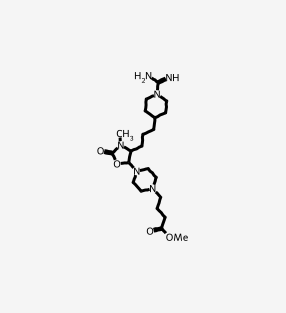 COC(=O)CCCN1CCN(C2OC(=O)N(C)C2CCCC2CCN(C(=N)N)CC2)CC1